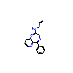 C=CCNC1=Nc2cccnc2C(c2ccccc2)=NC1